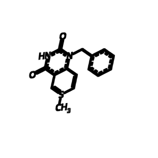 CS1=Cc2c(n(Cc3ccccc3)c(=O)[nH]c2=O)C=C1